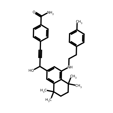 Cc1ccc(CCNc2cc(C(O)C#Cc3ccc(C(N)=O)cc3)cc3c2C(C)(C)CCC3(C)C)cc1